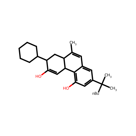 CCCCC(C)(C)c1cc(O)c2c(c1)C=C(C)C1CC(C3CCCCC3)C(O)=CC21